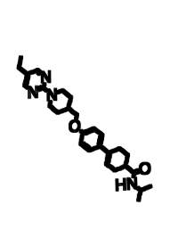 CCc1cnc(N2CCC(COc3ccc(C4=CCC(C(=O)NC(C)C)CC4)cc3)CC2)nc1